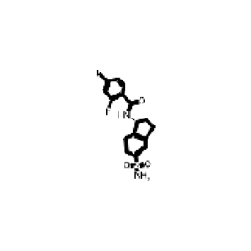 NS(=O)(=O)c1ccc2c(c1)CC[C@H]2NC(=O)c1ccc(I)cc1F